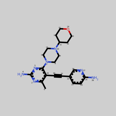 Cc1nc(N)nc(N2CCN(C3CCOCC3)CC2)c1C#Cc1ccc(N)nc1